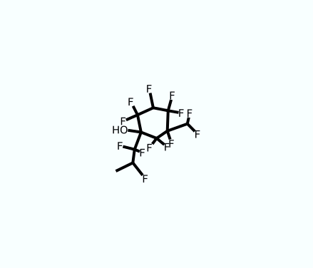 CC(F)C(F)(F)C1(O)C(F)(F)C(F)C(F)(F)C(F)(C(F)F)C1(F)F